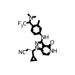 Cc1cc(Nc2nn([C@@H](CC#N)C3CC3)c3cc[nH]c(=O)c23)ccc1C(N(C)C)C(F)(F)F